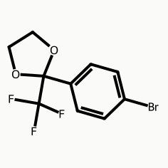 FC(F)(F)C1(c2ccc(Br)cc2)OCCO1